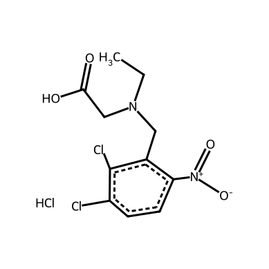 CCN(CC(=O)O)Cc1c([N+](=O)[O-])ccc(Cl)c1Cl.Cl